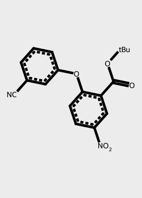 CC(C)(C)OC(=O)c1cc([N+](=O)[O-])ccc1Oc1cccc(C#N)c1